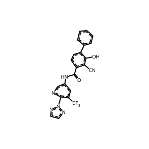 N#Cc1c(C(=O)Nc2cnc(-n3nccn3)c(C(F)(F)F)c2)ccc(-c2ccccc2)c1O